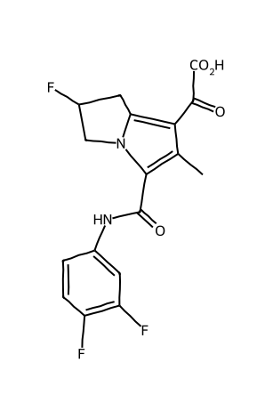 Cc1c(C(=O)C(=O)O)c2n(c1C(=O)Nc1ccc(F)c(F)c1)CC(F)C2